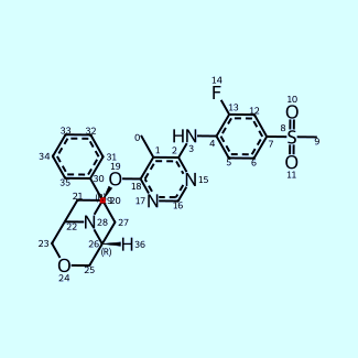 Cc1c(Nc2ccc(S(C)(=O)=O)cc2F)ncnc1O[C@@H]1CC2COC[C@@H](C1)N2Cc1ccccc1